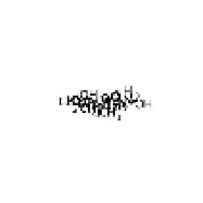 CC(NC(=O)c1cccc(C(=O)NCC(=O)O)c1)[C@@H](C)C(=O)N1CC[C@](O)(c2ccc(Cl)cc2)C(C)(C)C1